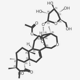 CC(=O)O[C@@H]1C[C@@]23COC[C@@](C)([C@@H]2CC[C@H]2C3=CC[C@@]3(C)[C@H](C(=O)O)[C@@](C)([C@H](C)C(C)C)CC[C@]23C)[C@H]1O[C@@H]1O[C@H](CO)[C@@H](O)[C@H](O)[C@H]1O